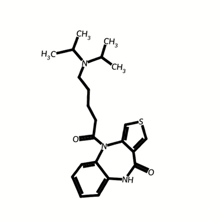 CC(C)N(CCCCC(=O)N1c2ccccc2NC(=O)c2cscc21)C(C)C